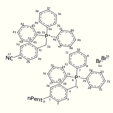 CCCCCc1ccc(C[P+](c2ccccc2)(c2ccccc2)c2ccccc2)cc1.N#Cc1ccc(C[P+](c2ccccc2)(c2ccccc2)c2ccccc2)cc1.[Br-].[Br-]